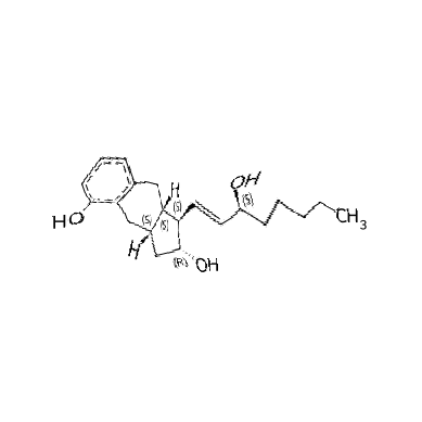 CCCCC[C@H](O)C=C[C@@H]1[C@H]2Cc3cccc(O)c3C[C@H]2C[C@H]1O